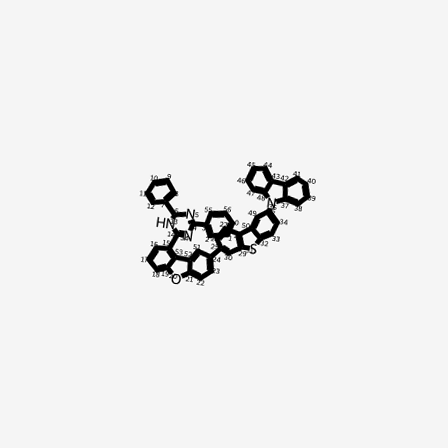 c1ccc(C2=NC(c3ccccc3)NC(c3cccc4oc5ccc(-c6ccc7c(c6)sc6ccc(-n8c9ccccc9c9ccccc98)cc67)cc5c34)=N2)cc1